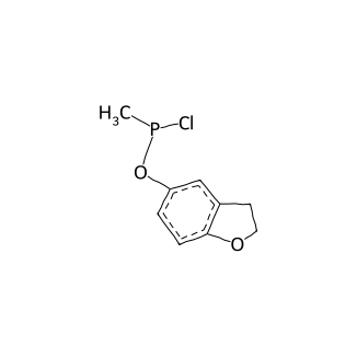 CP(Cl)Oc1ccc2c(c1)CCO2